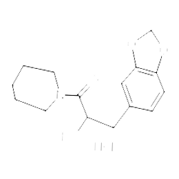 CC(Cc1ccc2c(c1)OCO2)C(=O)N1CCCCC1.Cl